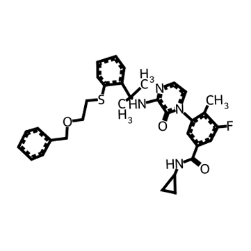 Cc1c(F)cc(C(=O)NC2CC2)cc1-n1ccnc(NC(C)(C)c2ccccc2SCCOCc2ccccc2)c1=O